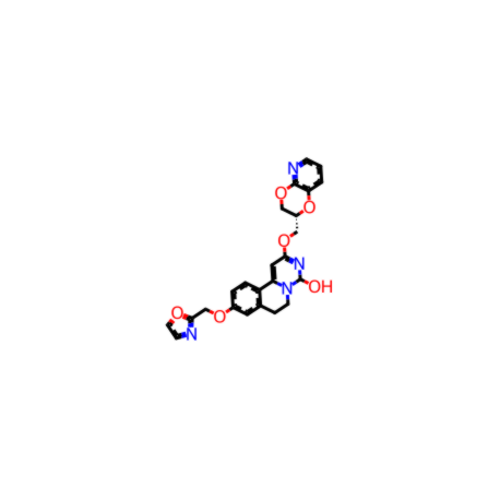 OC1N=C(OC[C@@H]2COc3ncccc3O2)C=C2c3ccc(OCc4ncco4)cc3CCN21